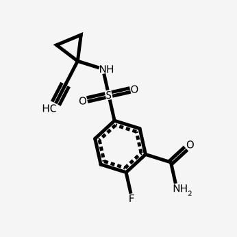 C#CC1(NS(=O)(=O)c2ccc(F)c(C(N)=O)c2)CC1